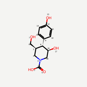 O=C(O)N1C[C@@H](CO)[C@H](c2ccc(O)cc2)[C@@H](O)C1